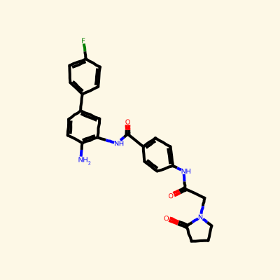 Nc1ccc(-c2ccc(F)cc2)cc1NC(=O)c1ccc(NC(=O)CN2CCCC2=O)cc1